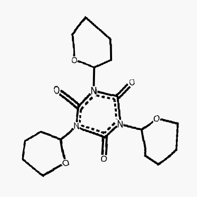 O=c1n(C2CCCCO2)c(=O)n(C2CCCCO2)c(=O)n1C1CCCCO1